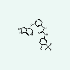 O=C(Nc1cccc(ON2C=NC=C3NNC=C32)c1)Nc1ccc(Cl)c(C(F)(F)F)c1